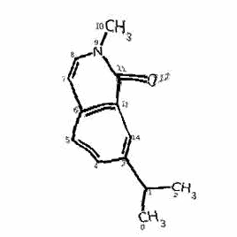 CC(C)c1ccc2ccn(C)c(=O)c2c1